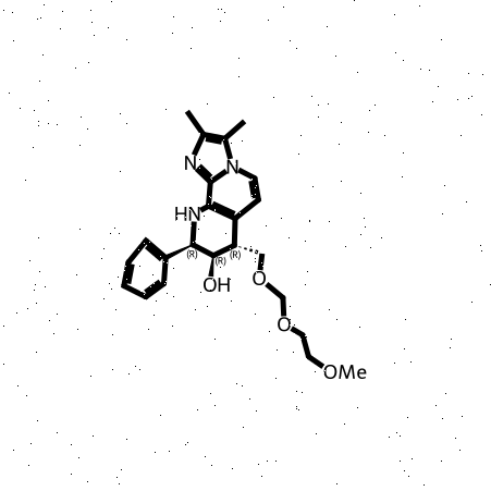 COCCOCOC[C@H]1c2ccn3c(C)c(C)nc3c2N[C@H](c2ccccc2)[C@@H]1O